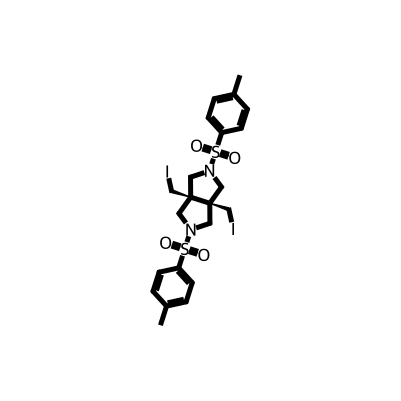 Cc1ccc(S(=O)(=O)N2C[C@]3(CI)CN(S(=O)(=O)c4ccc(C)cc4)C[C@]3(CI)C2)cc1